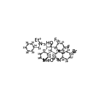 CCN(CCC(O)(c1ccc(F)cc1F)C(c1ccccc1)c1cc2cc(Br)ccc2nc1OC)Cc1ccccc1